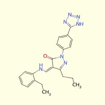 CCCC1=NN(c2ccc(-c3nnn[nH]3)cc2)C(=O)/C1=C\Nc1ccccc1CC